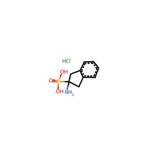 Cl.NC1(P(=O)(O)O)Cc2ccccc2C1